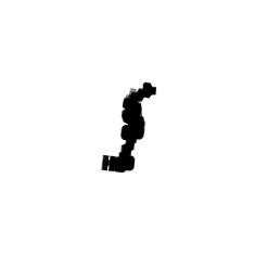 CC(C)CCC[C@@H](C)[C@H]1CCC2C3CC=C4CC(OC(=O)CCCCCCC(=O)O)CC[C@]4(C)C3CC[C@@]21C